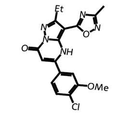 CCc1nn2c(=O)cc(-c3ccc(Cl)c(OC)c3)[nH]c2c1-c1nc(C)no1